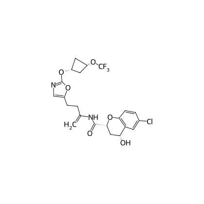 C=C(CCc1cnc(O[C@H]2C[C@@H](OC(F)(F)F)C2)o1)NC(=O)[C@H]1C[C@@H](O)c2cc(Cl)ccc2O1